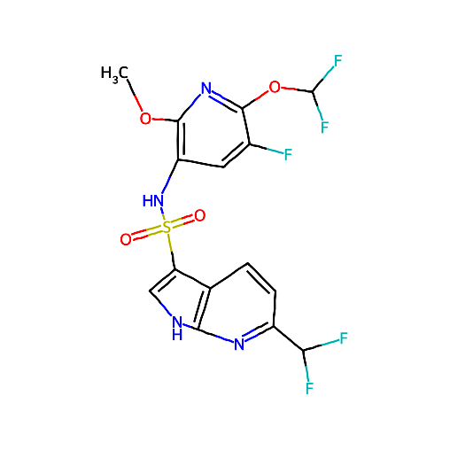 COc1nc(OC(F)F)c(F)cc1NS(=O)(=O)c1c[nH]c2nc(C(F)F)ccc12